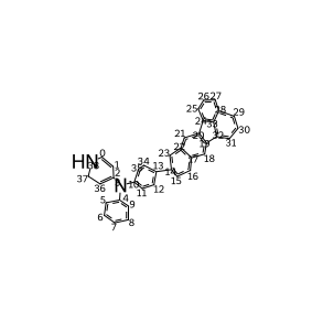 C1=CC(N(c2ccccc2)c2ccc(-c3ccc4cc5c(cc4c3)-c3cccc4cccc-5c34)cc2)=CCN1